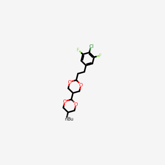 CCCCC1COC(C2COC(CCc3cc(F)c(Cl)c(F)c3)OC2)OC1